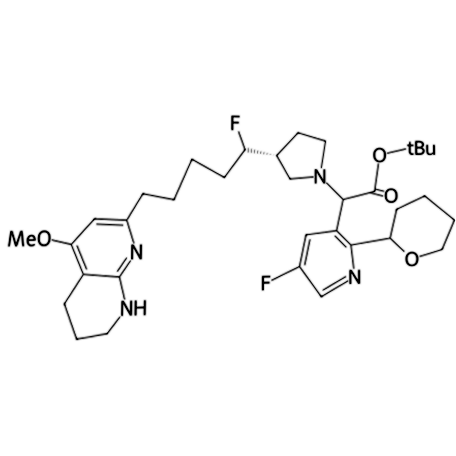 COc1cc(CCCCC(F)[C@@H]2CCN(C(C(=O)OC(C)(C)C)c3cc(F)cnc3C3CCCCO3)C2)nc2c1CCCN2